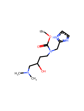 CN(C)CC(O)CCN(Cc1ncc[nH]1)C(=O)OC(C)(C)C